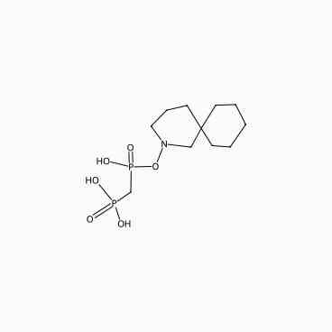 O=P(O)(O)CP(=O)(O)ON1CCCC2(CCCCC2)C1